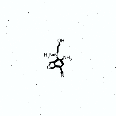 N#Cc1cc(N)c(N(N)CCCO)c2c1COC2